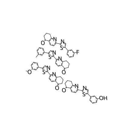 COc1cccc(-c2cnc(-c3ccc4c(n3)CCCC4=O)s2)c1.Cc1cccc(-c2cnc(-c3ccc4c(n3)CCCC4=O)s2)c1.O=C1CCCc2nc(-c3ncc(-c4cccc(F)c4)s3)ccc21.O=C1CCCc2nc(-c3ncc(-c4cccc(O)c4)s3)ccc21